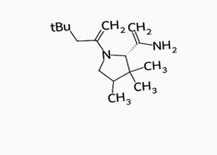 C=C(N)[C@H]1N(C(=C)CC(C)(C)C)CC(C)C1(C)C